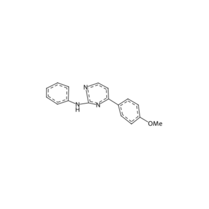 COc1ccc(-c2ccnc(Nc3ccccc3)n2)cc1